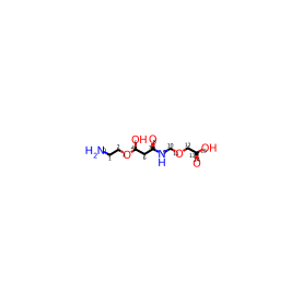 NCCOC(O)CC(=O)NCOCC(=O)O